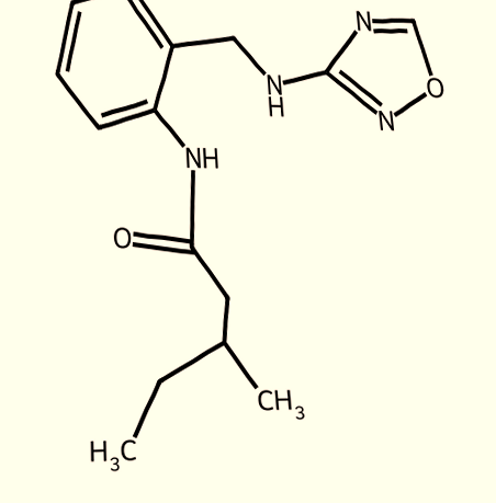 CCC(C)CC(=O)Nc1ccccc1CNc1ncon1